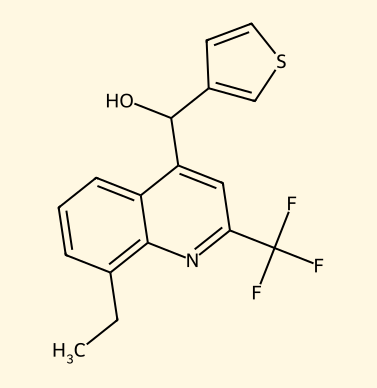 CCc1cccc2c(C(O)c3ccsc3)cc(C(F)(F)F)nc12